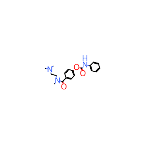 CN(C)CCN(C)C(=O)c1ccc(OC(=O)Nc2ccccc2)cc1